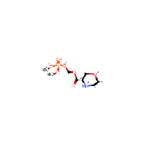 CC(C)(C)OP(=O)(OCOC(=O)[C@@H]1COCCN1)OC(C)(C)C